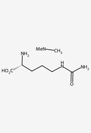 CNC.NC(=O)NCCC[C@@H](N)C(=O)O